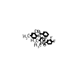 Cc1ccc(-n2c(C(C)N(C)S(=O)(=O)c3ccc(F)c(F)c3F)nc3ccccc3c2=O)c(C)c1